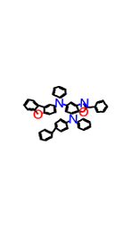 c1ccc(-c2ccc(N(c3ccccc3)c3cc(N(c4ccccc4)c4ccc5oc6ccccc6c5c4)cc4nc(-c5ccccc5)oc34)cc2)cc1